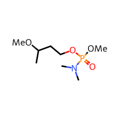 COC(C)CCOP(=O)(OC)N(C)C